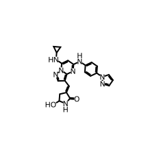 O=C1NC(O)C/C1=C\c1cnn2c(NC3CC3)cc(Nc3ccc(-n4cccn4)cc3)nc12